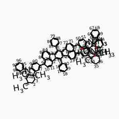 CC1CCC2(C)c3cc(-c4ccc5c6c(-c7ccccc7)c7c8ccc(-c9ccc%10c(c9)C9(C)CCCCC9(C)N%10c9ccccc9)c9c(-c%10ccc%11c(c%10)C%10(C)CCC(C)CC%10(C)N%11c%10ccccc%10)ccc(c7c(-c7ccccc7)c6c6cccc4c65)c98)ccc3N(c3ccccc3)C2(C)C1